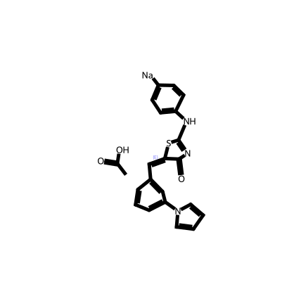 CC(=O)O.O=C1N=C(Nc2cc[c]([Na])cc2)S/C1=C/c1cccc(-n2cccc2)c1